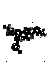 CCS(=O)(=O)Nc1ccc(-c2n[nH]c(Nc3cccc(C(F)(F)F)n3)c2C(N)=O)cc1OCc1cccc(Cl)c1